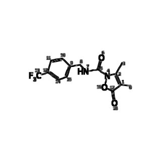 Cc1c(C)n(C(=O)NCc2ccc(C(F)(F)F)cc2)oc1=O